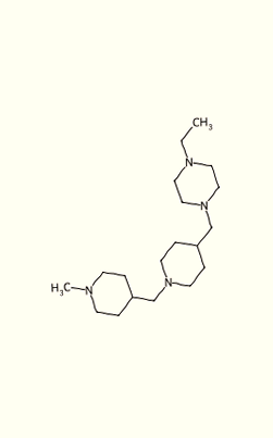 CCN1CCN(CC2CCN(CC3CCN(C)CC3)CC2)CC1